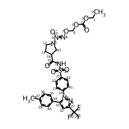 CCOC(=O)OCON=[N+]([O-])N1CCC(C(=O)NS(=O)(=O)c2ccc(-n3nc(C(F)(F)F)cc3-c3ccc(C)cc3)cc2)C1